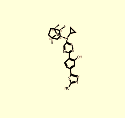 C[C@@]12CC[C@@](C)(N1)[C@@H](F)[C@@H](N(c1cnc(-c3ccc(-c4nnc(C#N)s4)cc3O)nn1)C1CC1)C2